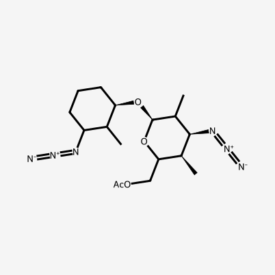 CC(=O)OCC1O[C@@H](O[C@@H]2CCCC(N=[N+]=[N-])C2C)C(C)[C@@H](N=[N+]=[N-])[C@H]1C